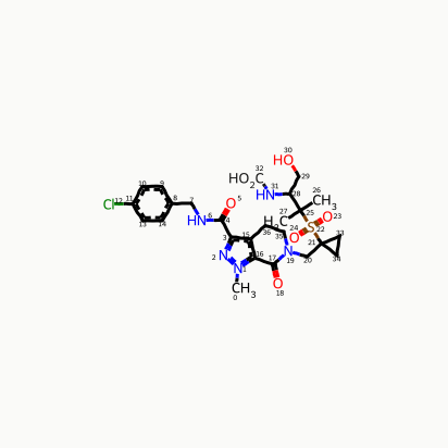 Cn1nc(C(=O)NCc2ccc(Cl)cc2)c2c1C(=O)N(CC1(S(=O)(=O)C(C)(C)C(CO)NC(=O)O)CC1)CC2